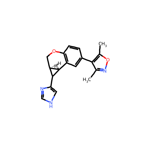 Cc1noc(C)c1-c1ccc2c(c1)[C@H]1C(c3c[nH]cn3)[C@H]1CO2